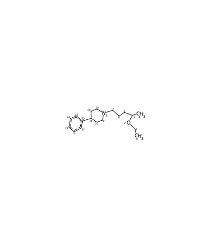 CCOC(C)CCCN1CCC(c2ccccc2)CC1